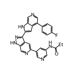 CCC(=O)Nc1cncc(-c2cc3c(-c4cc5c(-c6ccc(F)cc6)cncc5[nH]4)n[nH]c3cn2)c1